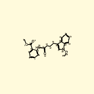 COC(=O)c1ccccc1NC(=O)CCCc1cn(OC)c2ccccc12